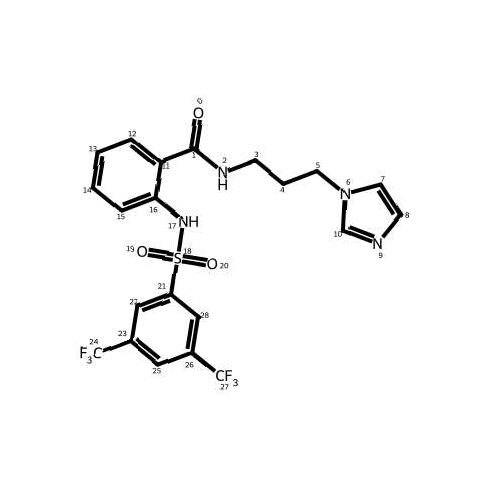 O=C(NCCCn1ccnc1)c1ccccc1NS(=O)(=O)c1cc(C(F)(F)F)cc(C(F)(F)F)c1